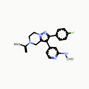 C=C(SC)N1CCn2nc(-c3ccc(F)cc3)c(-c3ccnc(NC=O)c3)c2C1